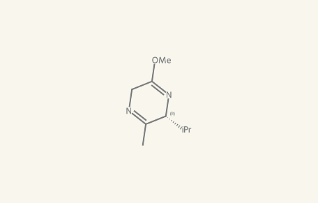 COC1=N[C@H](C(C)C)C(C)=NC1